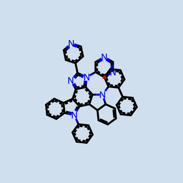 C1=CC2c3c(c4c(nc(-c5ccncc5)n4-c4cncnc4)c4c5ccccc5n(-c5ccccc5)c34)N(c3ccccc3-c3ccccc3)C2C=C1